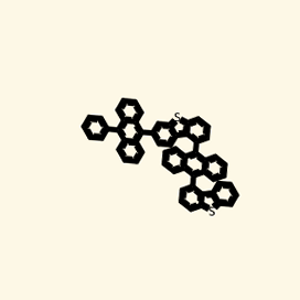 c1ccc(-c2c3ccccc3c(-c3ccc4c(c3)sc3cccc(-c5c6ccccc6c(-c6cccc7sc8ccccc8c67)c6ccccc56)c34)c3ccccc23)cc1